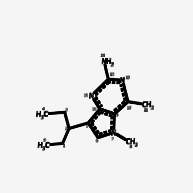 CCC(CC)c1cn(C)c2c(C)nc(N)nc12